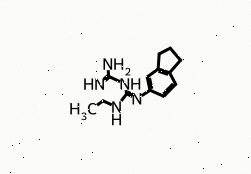 CCNC(=Nc1ccc2c(c1)CCC2)NC(=N)N